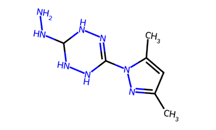 Cc1cc(C)n(C2=NNC(NN)NN2)n1